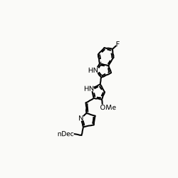 CCCCCCCCCCCC1=N/C(=C/c2[nH]c(-c3cc4cc(F)ccc4[nH]3)cc2OC)C=C1